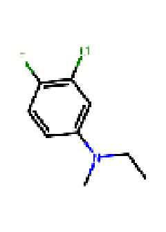 CCN(C)c1ccc(F)c(Cl)c1